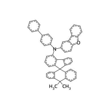 CC1(C)c2ccccc2C2(c3ccccc3-c3c(N(c4ccc(-c5ccccc5)cc4)c4ccc5oc6ccccc6c5c4)cccc32)c2ccccc21